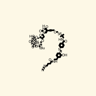 CC(C)(C)SSCOC1C[C@H](n2cc(C#CCOCSSC(C)(C)CNC(=O)c3ccc(/N=N/c4ccc(CCNC(=O)CCCN=[N+]=[N-])cc4O)cc3)c(=O)[nH]c2=O)O[C@@H]1COP(=O)(O)OP(=O)(O)OP(=O)(O)O